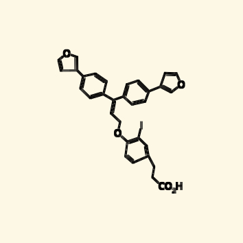 O=C(O)CCc1ccc(OCC=C(c2ccc(-c3ccoc3)cc2)c2ccc(-c3ccoc3)cc2)c(I)c1